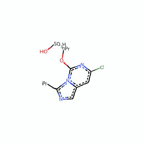 CCCOc1nc(Cl)cc2cnc(C(C)C)n12.O=S(=O)(O)O